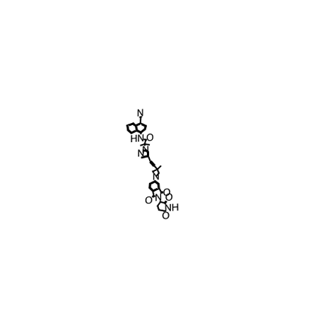 CC1(C#Cc2cnn(C(C)(C)C(=O)Nc3ccc(C#N)c4ccccc34)c2)CN(c2ccc3c(c2)C(=O)N(C2CCC(=O)NC2=O)C3=O)C1